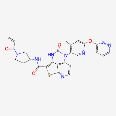 C=CC(=O)N1CCC(NC(=O)c2sc3nccc4c3c2NC(=O)N4c2cnc(Oc3cccnn3)cc2C)C1